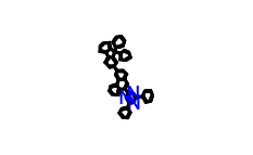 c1ccc(-c2nc(-c3ccccc3)nc(-c3cc4ccc(-c5ccc6c(c5)C(c5ccccc5)(c5ccccc5)c5ccccc5-6)cc4c4ccccc34)n2)cc1